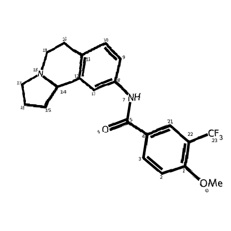 COc1ccc(C(=O)Nc2ccc3c(c2)C2CCCN2CC3)cc1C(F)(F)F